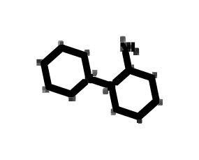 NC1CCCCN1N1CCCCC1